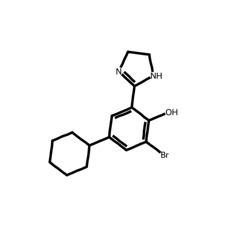 Oc1c(Br)cc(C2CCCCC2)cc1C1=NCCN1